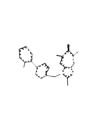 CCCCCCc1nc2cc(C)c(=O)c(C)cc2n1Cc1ccc(-c2ccccc2C(=O)O)cc1